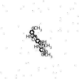 COc1ccc2c(c1)[C@]1(C[C@H]1c1ccc3c(Nc4ccc(S(C)(=O)=O)nc4OC)n[nH]c3c1)C(=O)N2